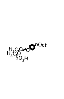 CCCCCCCCc1ccc(OCCOC(C)OC(C)S(=O)(=O)O)cc1